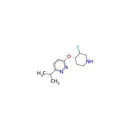 CC(C)c1ccc(O[C@H]2CCNC[C@@H]2F)nn1